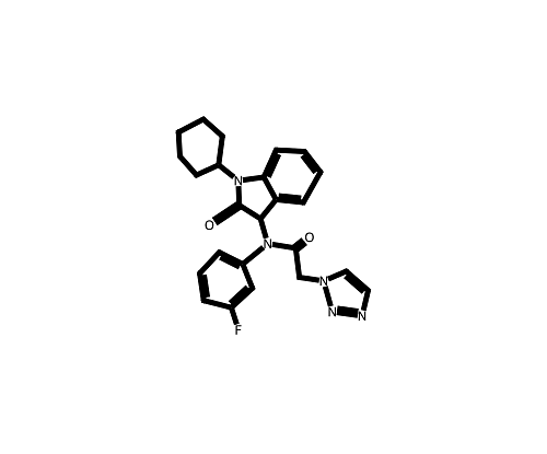 O=C1C(N(C(=O)Cn2ccnn2)c2cccc(F)c2)c2ccccc2N1C1CCCCC1